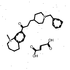 CN1CCCCc2ccc(C(=O)CCC3CCN(Cc4ccccc4)CC3)cc21.O=C(O)C=CC(=O)O